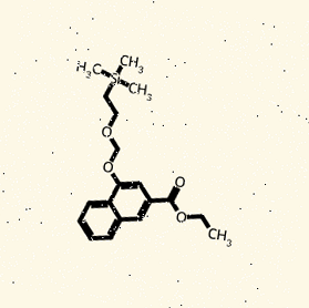 CCOC(=O)c1cc(OCOCC[Si](C)(C)C)c2ccccc2c1